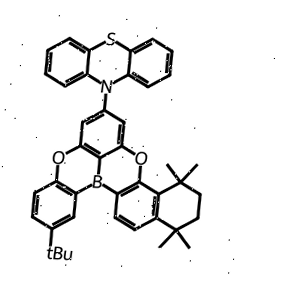 CC(C)(C)c1ccc2c(c1)B1c3ccc4c(c3Oc3cc(N5c6ccccc6Sc6ccccc65)cc(c31)O2)C(C)(C)CCC4(C)C